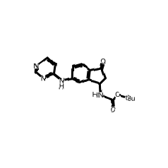 CC(C)(C)OC(=O)NC1CC(=O)c2ccc(Nc3ccncn3)cc21